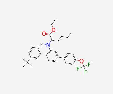 CCCCC(C(=O)OCC)N(Cc1ccc(C(C)(C)C)cc1)c1cccc(-c2ccc(OC(F)(F)F)cc2)c1